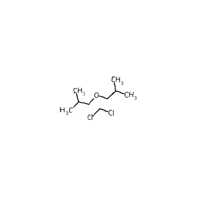 CC(C)COCC(C)C.ClCCl